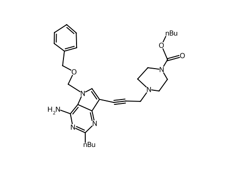 CCCCOC(=O)N1CCN(CC#Cc2cn(COCc3ccccc3)c3c(N)nc(CCCC)nc23)CC1